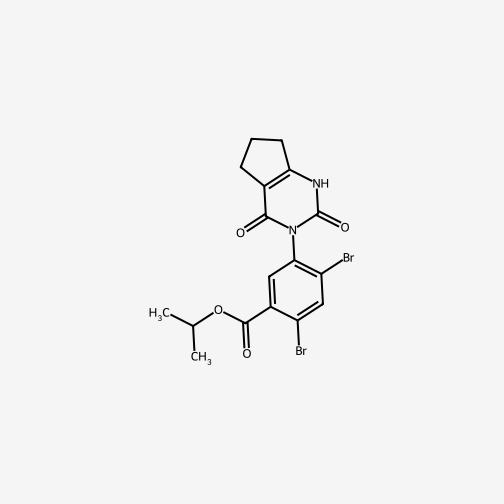 CC(C)OC(=O)c1cc(-n2c(=O)[nH]c3c(c2=O)CCC3)c(Br)cc1Br